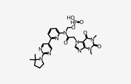 Cn1c(=O)c2c(ncn2CC(=O)N(CO[PH](=O)O)c2cccc(-c3cnc(N4CCCC4(C)C)nc3)n2)n(C)c1=O